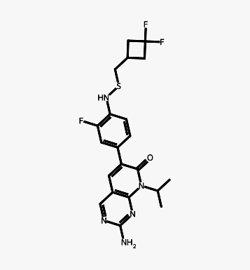 CC(C)n1c(=O)c(-c2ccc(NSCC3CC(F)(F)C3)c(F)c2)cc2cnc(N)nc21